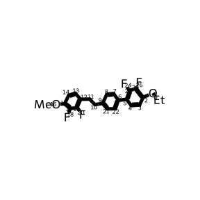 CCOc1ccc(-c2ccc(CCc3ccc(OC)c(F)c3F)cc2)c(F)c1F